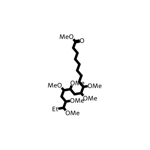 CCC(OC)C(CC(OC)C(CC(OC)C(CCCCCCCC(=O)OC)OC)OC)OC